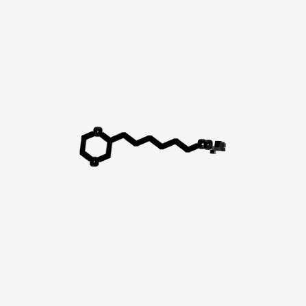 CCOC(=O)CCCCCCC1COCCO1